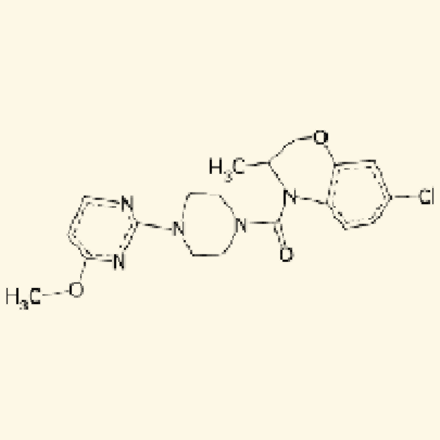 COc1ccnc(N2CCN(C(=O)N3c4ccc(Cl)cc4OCC3C)CC2)n1